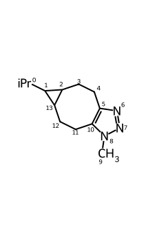 CC(C)C1C2CCc3nnn(C)c3CCC21